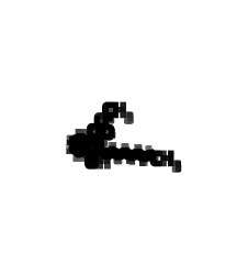 CCCCCCC/C=C/c1cc(OC(=O)OCC)c2ccccc2[n+]1O